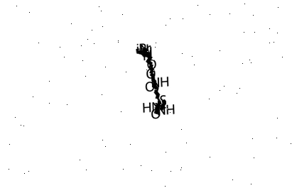 CC(C)Cc1cn(CCOCCOCCNC(=O)CCCC[C@@H]2SC[C@]3(C)NC(=O)N[C@]23C)nn1